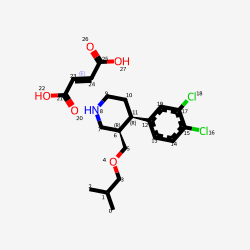 CC(C)COC[C@H]1CNCC[C@H]1c1ccc(Cl)c(Cl)c1.O=C(O)/C=C/C(=O)O